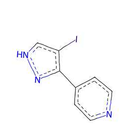 Ic1c[nH]nc1-c1ccncc1